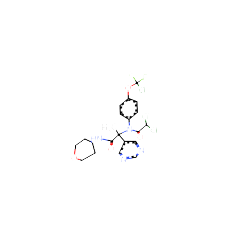 CC(C(=O)NC1CCOCC1)(c1cncnc1)N(C(=O)C(Cl)Cl)c1ccc(OC(F)(F)Cl)cc1